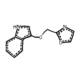 [c]1[nH]c2ccccc2c1OCc1ncco1